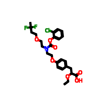 CCOC(Cc1ccc(OCCN(CCOCCC(C)(F)F)C(=O)Oc2ccccc2Cl)cc1)C(=O)O